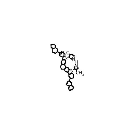 Cc1ccncc1-n1c2c(c3cc4c(cc31)-c1cc3c(cc1CC4)c1cc(-c4ccc5ccccc5c4)ccc1n3-c1c[nH]cc1C)C=C(c1ccc3ccccc3c1)CC2